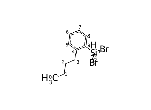 CCCCc1ccccc1[SiH](Br)Br